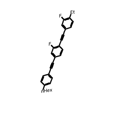 CCCCCCc1ccc(C#Cc2ccc(C#Cc3ccc(CC)c(F)c3)c(F)c2)cc1